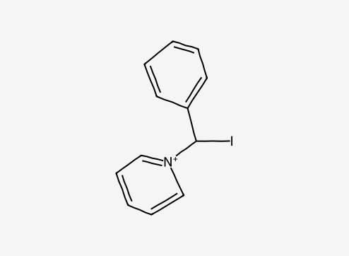 IC(c1ccccc1)[n+]1ccccc1